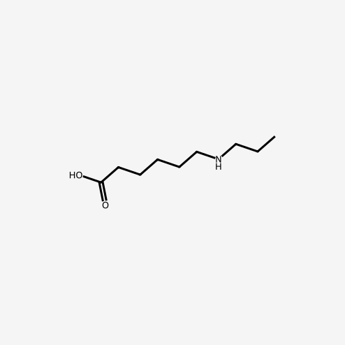 CCCNCCCCCC(=O)O